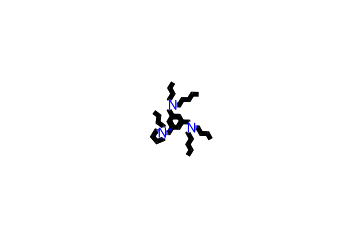 CCCCCN(CCCC)Cc1cc(CN(CCCC)CCCCC)cc(C[N+]2(CCCC)CCCC2)c1